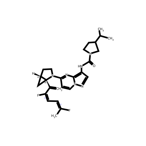 C=C(/C(F)=C\C=C(/C)F)[C@@]12C[C@@H]1CCN2c1ccn2ncc(NC(=O)N3CCC(C(C)C)C3)c2n1